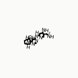 N=Cc1cnc(Nc2cc(N3[C@H]4CC[C@@H]3[C@@H](O)CC4)ncn2)cc1N